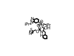 CC(C)CN(CC(O)C(Cc1ccccc1)NC(=O)OCc1cncs1)S(=O)(=O)c1ccc2ncn(CC(C)C)c2c1